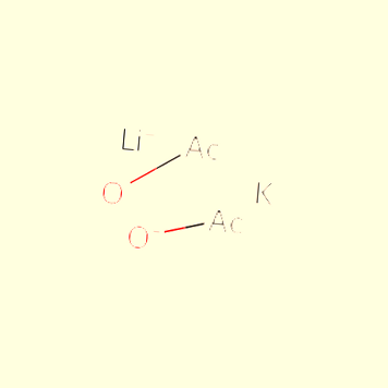 CC(=O)[O-].CC(=O)[O-].[K+].[Li+]